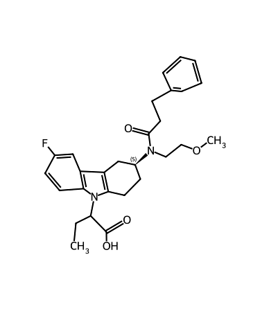 CCC(C(=O)O)n1c2c(c3cc(F)ccc31)C[C@@H](N(CCOC)C(=O)CCc1ccccc1)CC2